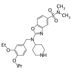 CCOc1cc(CN(c2nc3cc(S(=O)(=O)N(C)C)ccc3o2)C2CCNCC2)ccc1OC(C)C